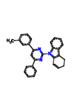 Cc1cccc(-c2cc(-c3ccccc3)nc(-n3c4c(c5ccccc53)CCC=C4)n2)c1